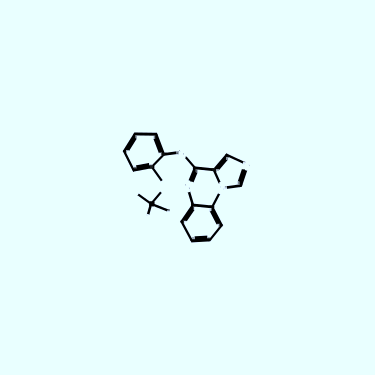 FC(F)(F)Oc1ccccc1Nc1nc2ccccc2n2cncc12